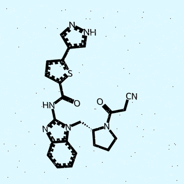 N#CCC(=O)N1CCC[C@@H]1Cn1c(NC(=O)c2ccc(-c3cn[nH]c3)s2)nc2ccccc21